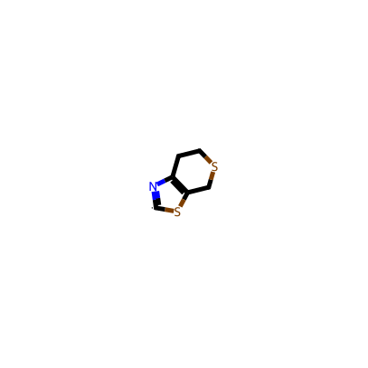 [c]1nc2c(s1)CSCC2